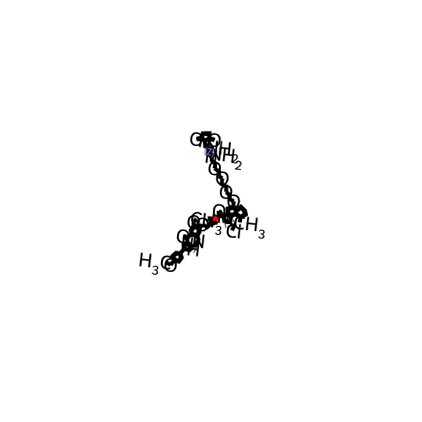 COc1ccc(C2=CN3C(=O)c4cc(OC)c(OCC56CC(C(=O)N7C[C@@H](CCl)c8c7cc(OCCOCCOCCOCCN(N)/C=C(\N)CN7C(=O)C=CC7=O)c7cccc(C)c87)(C5)C6)cc4N=C[C@@H]3C2)cc1